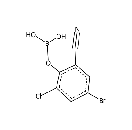 N#Cc1cc(Br)cc(Cl)c1OB(O)O